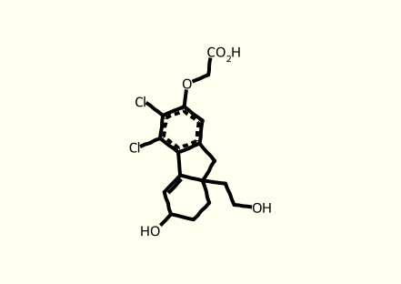 O=C(O)COc1cc2c(c(Cl)c1Cl)C1=CC(O)CCC1(CCO)C2